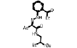 CCCCC(CC)CNC(=O)/C(=N\Nc1ccccc1C(=O)CC)C(C)=O